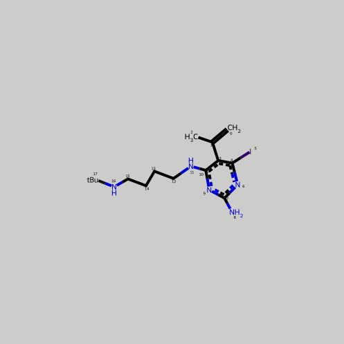 C=C(C)c1c(I)nc(N)nc1NCCCCNC(C)(C)C